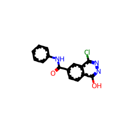 O=C(Nc1ccccc1)c1ccc2c(O)nnc(Cl)c2c1